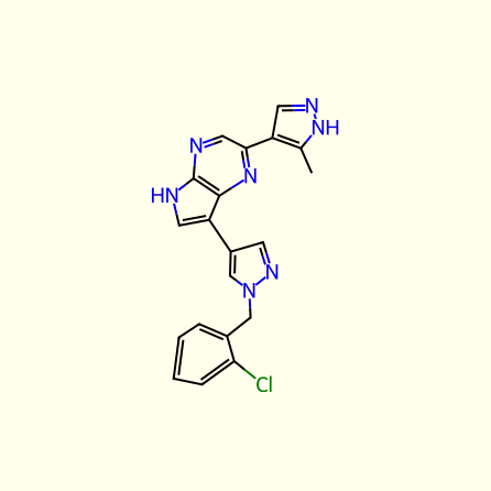 Cc1[nH]ncc1-c1cnc2[nH]cc(-c3cnn(Cc4ccccc4Cl)c3)c2n1